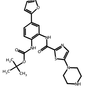 CC(C)(C)OC(=O)Nc1ccc(-c2ccco2)cc1NC(=O)c1ncc(N2CCNCC2)s1